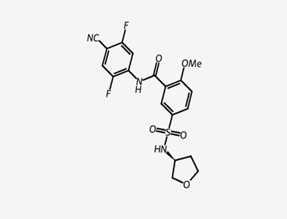 COc1ccc(S(=O)(=O)N[C@H]2CCOC2)cc1C(=O)Nc1cc(F)c(C#N)cc1F